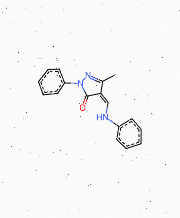 CC1=NN(c2ccccc2)C(=O)C1=CNc1ccccc1